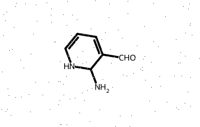 NC1NC=CC=C1C=O